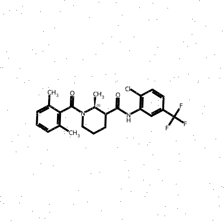 Cc1cccc(C)c1C(=O)N1CCCC(C(=O)Nc2cc(C(F)(F)F)ccc2Cl)[C@@H]1C